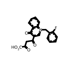 O=C(O)C(=O)CC(=O)c1cn(Cc2ccccc2F)c2ccccc2c1=O